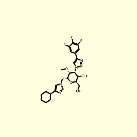 CO[C@@H]1[C@@H](n2cc(-c3cc(F)c(F)c(F)c3)nn2)[C@@H](O)[C@@H](CO)O[C@@H]1Cn1cc(C2CCCCC2)nn1